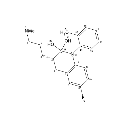 CNCCC[C@H]1Cc2cc(F)ccc2N(c2ccccc2C)S1(O)O